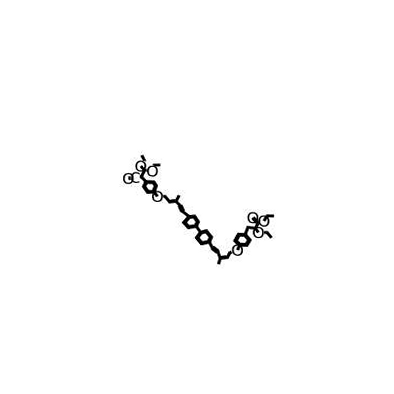 CCOC(=O)C(Cc1ccc(OCC=C(C)C#Cc2ccc(-c3ccc(C#CC(C)=CCOc4ccc(C(=C=O)C(OCC)OCC)cc4)cc3)cc2)cc1)OCC